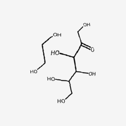 O=C(CO)C(O)C(O)C(O)CO.OCCO